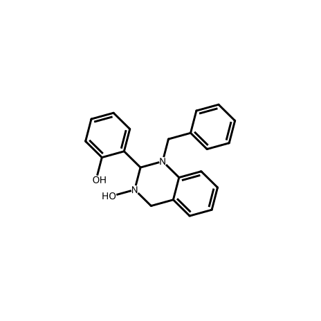 Oc1ccccc1C1N(O)Cc2ccccc2N1Cc1ccccc1